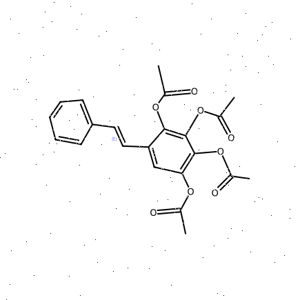 CC(=O)Oc1cc(/C=C/c2ccccc2)c(OC(C)=O)c(OC(C)=O)c1OC(C)=O